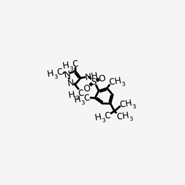 Cc1cc(C(C)(C)C)cc(C)c1S(=O)(=O)Nc1c(C)nn(C)c1C